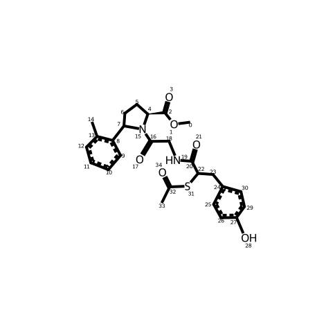 COC(=O)[C@@H]1CCC(c2ccccc2C)N1C(=O)CNC(=O)C(Cc1ccc(O)cc1)SC(C)=O